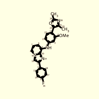 COc1cc(Nc2cccn3cc(-c4ccc(F)cc4)nc23)ccc1-c1oc(C)nc1C